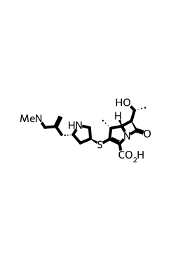 C=C(CNC)C[C@H]1C[C@H](SC2=C(C(=O)O)N3C(=O)[C@H]([C@@H](C)O)[C@H]3[C@H]2C)CN1